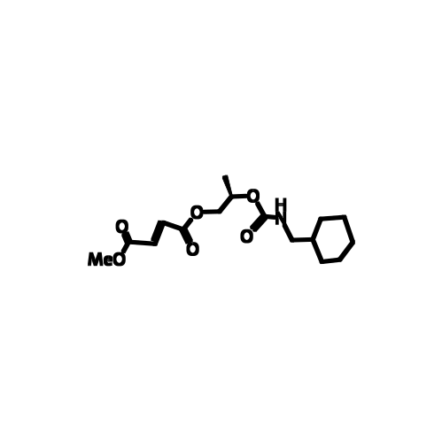 COC(=O)/C=C/C(=O)OC[C@@H](C)OC(=O)NCC1CCCCC1